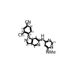 CNc1cc(Nc2cc3c(cn2)cnn3-c2ccc(C#N)cc2Cl)ncn1